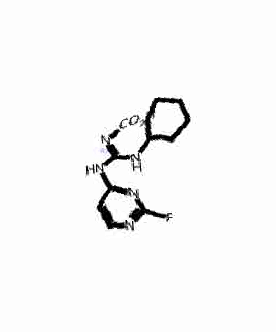 O=C(O)/N=C(/Nc1ccnc(F)n1)NC1CCCCC1